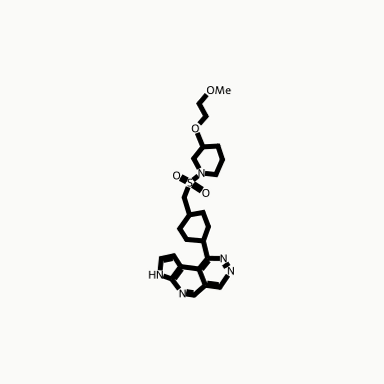 COCCOC1CCCN(S(=O)(=O)CC2CCC(c3nncc4cnc5[nH]ccc5c34)CC2)C1